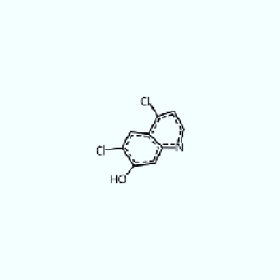 Oc1cc2nccc(Cl)c2cc1Cl